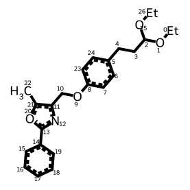 CCOC(CCc1ccc(OCc2nc(-c3ccccc3)oc2C)cc1)OCC